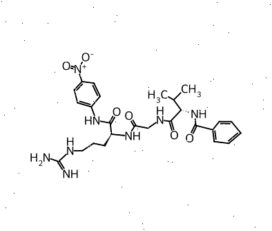 CC(C)[C@H](NC(=O)c1ccccc1)C(=O)NCC(=O)N[C@@H](CCCNC(=N)N)C(=O)Nc1ccc([N+](=O)[O-])cc1